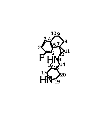 Fc1ccc2c(c1)C1(CCC2)CC1NCC1CCNCC1